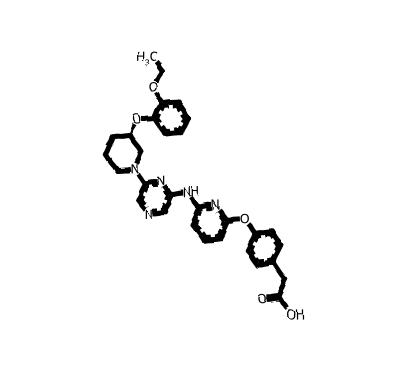 CCOc1ccccc1O[C@@H]1CCCN(c2cncc(Nc3cccc(Oc4ccc(CC(=O)O)cc4)n3)n2)C1